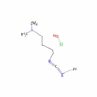 CCN=C=NCCCN(C)C.OCl